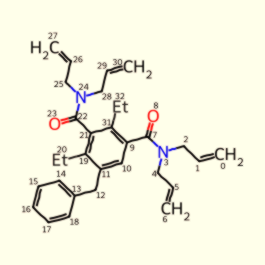 C=CCN(CC=C)C(=O)c1cc(Cc2ccccc2)c(CC)c(C(=O)N(CC=C)CC=C)c1CC